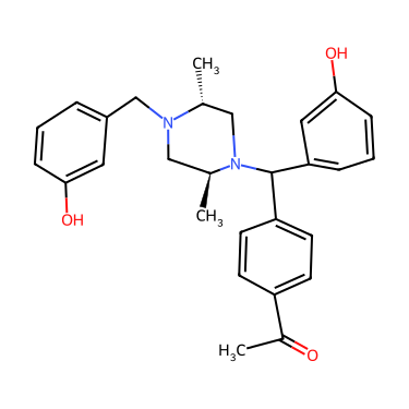 CC(=O)c1ccc(C(c2cccc(O)c2)N2C[C@@H](C)N(Cc3cccc(O)c3)C[C@@H]2C)cc1